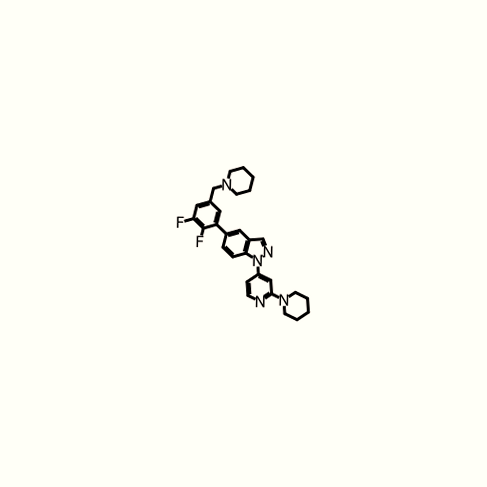 Fc1cc(CN2CCCCC2)cc(-c2ccc3c(cnn3-c3ccnc(N4CCCCC4)c3)c2)c1F